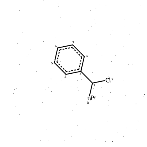 CCCC(Cl)c1[c]cccc1